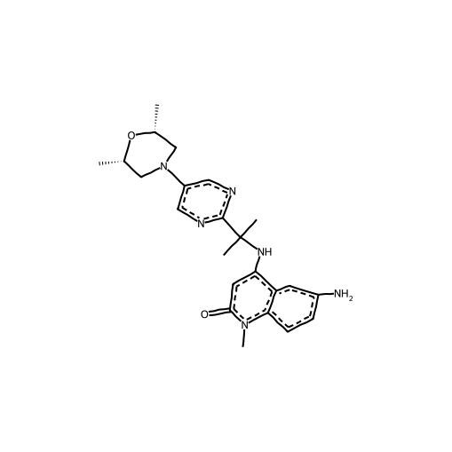 C[C@@H]1CN(c2cnc(C(C)(C)Nc3cc(=O)n(C)c4ccc(N)cc34)nc2)C[C@H](C)O1